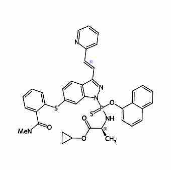 CNC(=O)c1ccccc1Sc1ccc2c(/C=C/c3ccccn3)nn(P(=S)(N[C@@H](C)C(=O)OC3CC3)Oc3cccc4ccccc34)c2c1